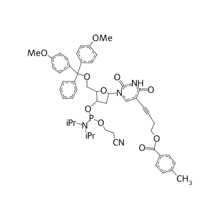 COc1ccc(C(OCC2OC(n3cc(C#CCCOC(=O)c4ccc(C)cc4)c(=O)[nH]c3=O)CC2OP(OCCC#N)N(C(C)C)C(C)C)(c2ccccc2)c2ccc(OC)cc2)cc1